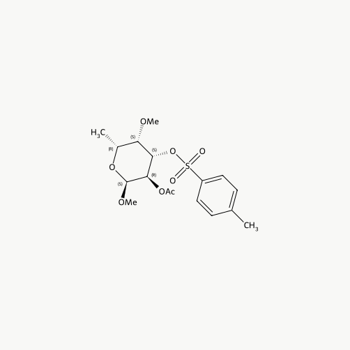 CO[C@H]1O[C@H](C)[C@H](OC)[C@H](OS(=O)(=O)c2ccc(C)cc2)[C@H]1OC(C)=O